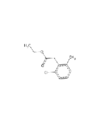 CCOC(=O)Cc1c(C)cccc1Cl